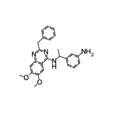 COc1cc2nc(Cc3ccccc3)nc(NC(C)c3cccc(N)c3)c2cc1OC